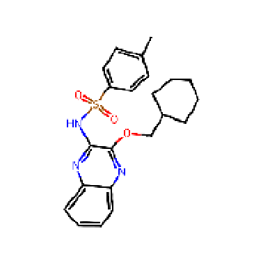 Cc1ccc(S(=O)(=O)Nc2nc3ccccc3nc2OCC2CCCCC2)cc1